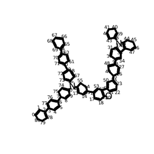 C1=CC(c2ccc(C3C=CC(N(C4=CC=C(c5ccc6oc7ccc(C8C=CC(c9ccc%10c(c9)c9c(n%10C%10=CCCC=C%10)CCC=C9)=CC8)cc7c6c5)CC4)c4ccc(-c5ccc(-c6ccccc6)cc5)cc4)=CC3)cc2)=CCC1